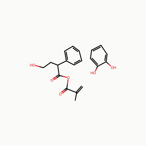 C=C(C)C(=O)OC(=O)C(CCO)c1ccccc1.Oc1ccccc1O